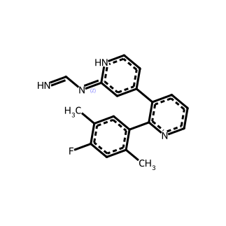 Cc1cc(-c2ncccc2-c2cc[nH]/c(=N\C=N)c2)c(C)cc1F